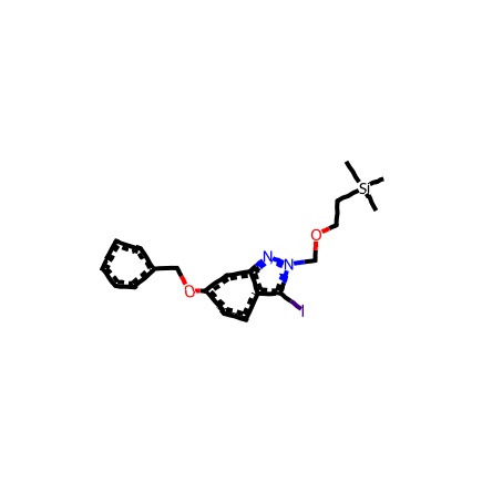 C[Si](C)(C)CCOCn1nc2cc(OCc3ccccc3)ccc2c1I